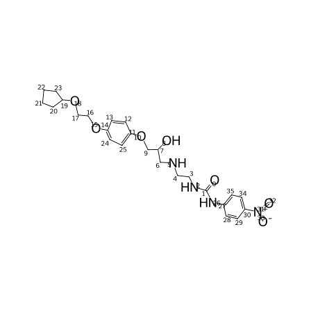 O=C(NCCNCC(O)COc1ccc(OCCOC2CCCC2)cc1)Nc1ccc([N+](=O)[O-])cc1